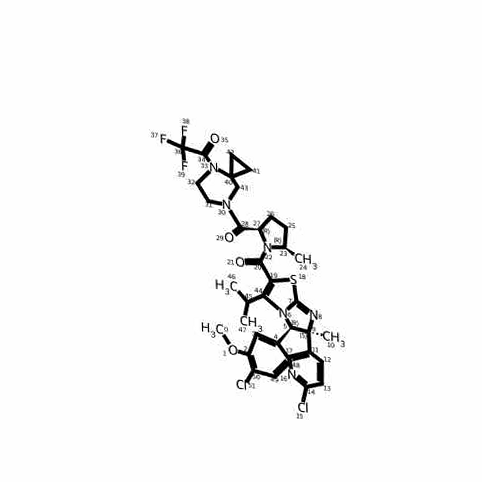 COc1cc([C@H]2N3C(=N[C@@]2(C)c2ccc(Cl)nc2)SC(C(=O)N2[C@H](C)CC[C@@H]2C(=O)N2CCN(C(=O)C(F)(F)F)C4(CC4)C2)=C3C(C)C)ccc1Cl